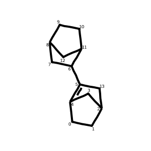 C1CC2CC1=C(C1CC3CCC1C3)C2